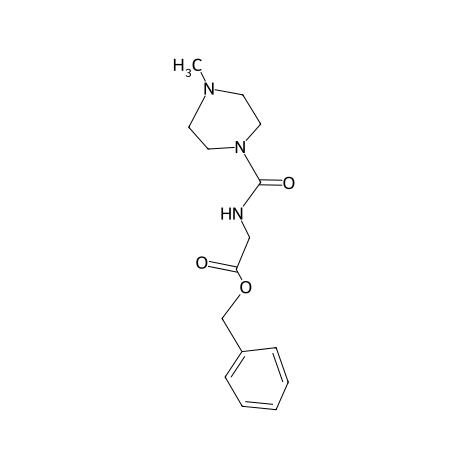 CN1CCN(C(=O)NCC(=O)OCc2ccccc2)CC1